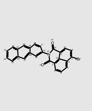 O=C1c2cccc3c(Br)ccc(c23)C(=O)N1c1ccc2cc3ccccc3cc2c1